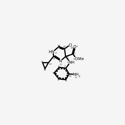 COC(=O)C1(Nc2ccccc2N)N=C(C2CC2)NC=C1Cl